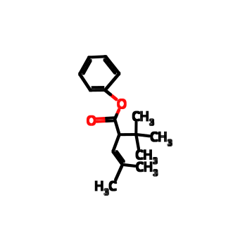 CC(C)=CC(C(=O)Oc1ccccc1)C(C)(C)C